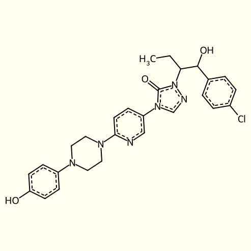 CCC(C(O)c1ccc(Cl)cc1)n1ncn(-c2ccc(N3CCN(c4ccc(O)cc4)CC3)nc2)c1=O